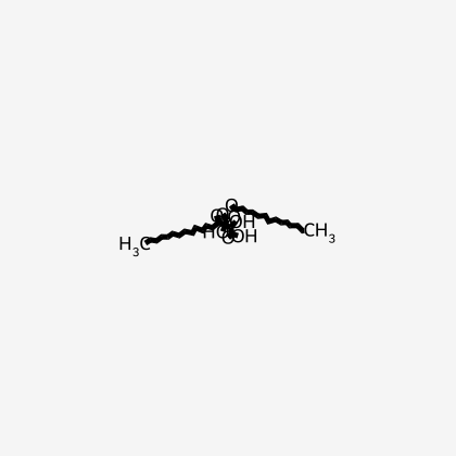 CCCCCCCCCCCCCC(=O)OC(=O)C(O)(C(=O)CCCCCCCCCCCCC)C(O)C(=O)O